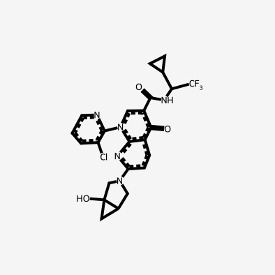 O=C(NC(C1CC1)C(F)(F)F)c1cn(-c2ncccc2Cl)c2nc(N3CC4CC4(O)C3)ccc2c1=O